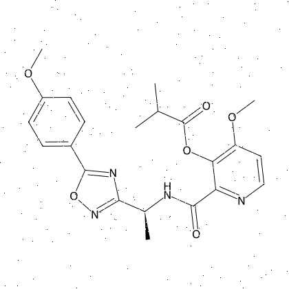 COc1ccc(-c2nc([C@H](C)NC(=O)c3nccc(OC)c3OC(=O)C(C)C)no2)cc1